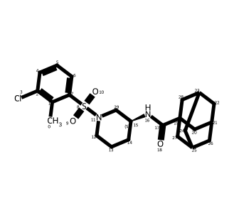 Cc1c(Cl)cccc1S(=O)(=O)N1CCC[C@H](NC(=O)C23CC4CC(CC(C4)C2)C3)C1